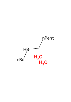 CCCCBCCCCCC.O.O